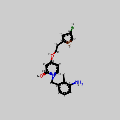 Cc1c(N)cccc1Cn1ccc(OCCc2cc(Br)cs2)cc1=O